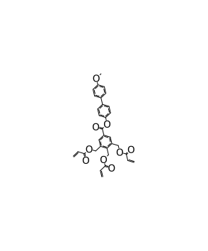 C=CC(=O)OCc1cc(C(=O)Oc2ccc(-c3ccc(OC)cc3)cc2)cc(COC(=O)C=C)c1COC(=O)C=C